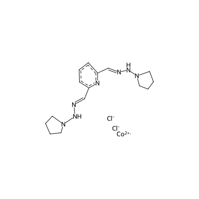 C(=NNN1CCCC1)c1cccc(C=NNN2CCCC2)n1.[Cl-].[Cl-].[Co+2]